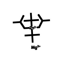 CC(C)[CH2][Zn-2]([CH2]C(C)C)([C](C)(C)C)[C](C)(C)C.[Mg+2]